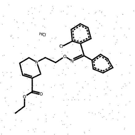 CCOC(=O)C1=CCCN(CCO/N=C(/c2ccccc2)c2ccccc2Cl)C1.Cl